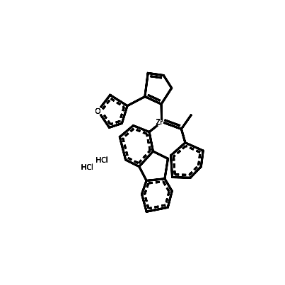 C/[C](c1ccccc1)=[Zr](\[C]1=C(c2ccoc2)C=CC1)[c]1cccc2c1Cc1ccccc1-2.Cl.Cl